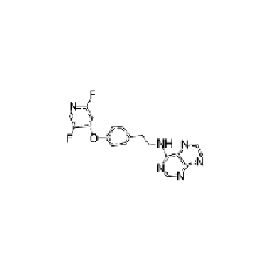 Fc1cc(Oc2ccc(CCNc3ncnc4nccnc34)cc2)c(F)cn1